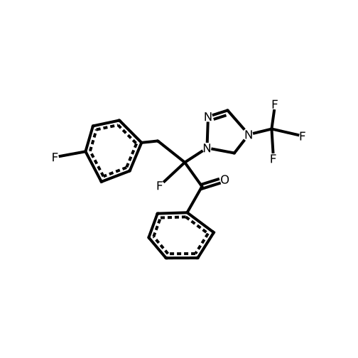 O=C(c1ccccc1)C(F)(Cc1ccc(F)cc1)N1CN(C(F)(F)F)C=N1